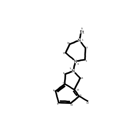 CCN1CCN(N2Cc3cccc(C)c3C2)CC1